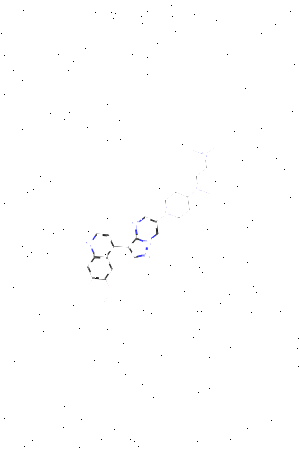 COc1cc2c(-c3cnn4cc(N5CCC(N(C)CCN(C)C)CC5)cnc34)ccnc2cc1F